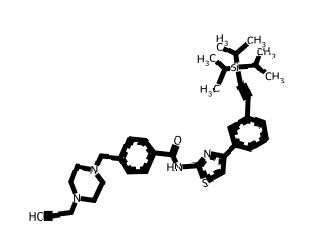 C#CCN1CCN(Cc2ccc(C(=O)Nc3nc(-c4cccc(C#C[Si](C(C)C)(C(C)C)C(C)C)c4)cs3)cc2)CC1